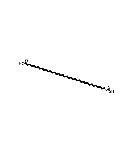 O=C(O)CCCCCCCCCCCCCCCCCCCCCCCCCCCCCCCCCCCCCCNC(=S)S